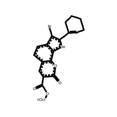 CCCCCCCCOC(=O)c1cc2ccc3c(Br)c(C4=CCCCC4)[se]c3c2oc1=O